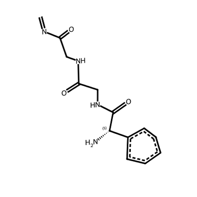 C=NC(=O)CNC(=O)CNC(=O)[C@@H](N)c1ccccc1